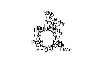 CC[C@H](C)[C@H]1NC(=O)[C@@H](NC(=O)[C@@H](CC(C)C)N(C)C(=O)C(NC(=O)OC(C)(C)C)C(C)C)[C@@H](C)OC(=O)[C@H](Cc2ccc(OC)cc2)N(C)C(=O)[C@@H]2CCCN2C(=O)[C@H](CC(C)C)NC(=O)[C@H](C(C)C)OC(=O)C[C@@H]1O